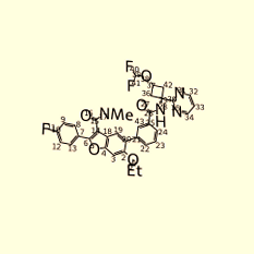 CCOc1cc2oc(-c3ccc(F)cc3)c(C(=O)NC)c2cc1-c1cccc(C(=O)NC2(c3ncccn3)CC(OC(F)F)C2)c1